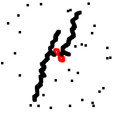 CCCCCCCCCCCCC(CCCCCC)COC(=O)C(C)CCCCCCCCCC